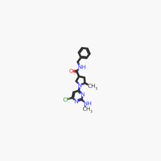 CNc1nc(Cl)cc(N2CC(C(=O)NCc3ccccc3)CC2C)n1